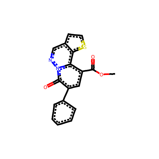 COC(=O)c1cc(-c2ccccc2)c(=O)n2ncc3ccsc3c12